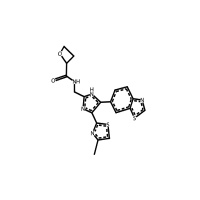 Cc1csc(-c2nc(CNC(=O)C3CCO3)[nH]c2-c2ccc3ncsc3c2)n1